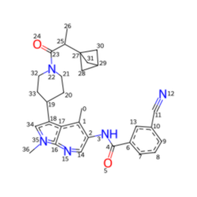 Cc1c(NC(=O)c2cccc(C#N)c2)cnc2c1c(C1CCN(C(=O)C(C)C34CC(C3)C4)CC1)cn2C